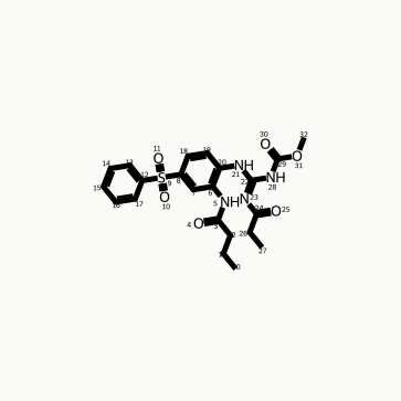 CCCC(=O)Nc1cc(S(=O)(=O)c2ccccc2)ccc1NC(=NC(=O)CC)NC(=O)OC